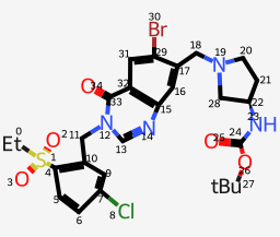 CCS(=O)(=O)c1ccc(Cl)cc1Cn1cnc2cc(CN3CC[C@@H](NC(=O)OC(C)(C)C)C3)c(Br)cc2c1=O